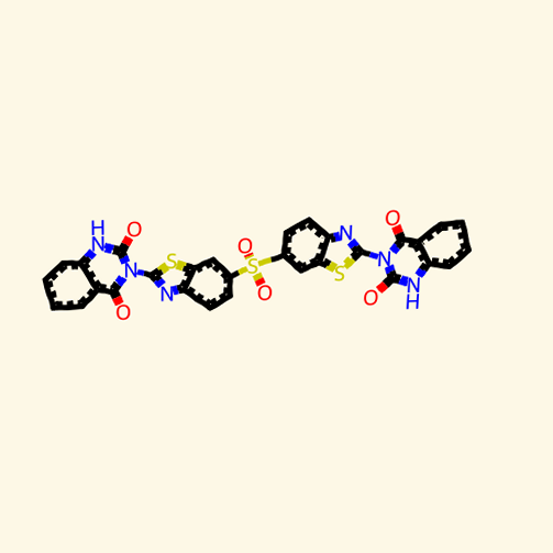 O=c1[nH]c2ccccc2c(=O)n1-c1nc2ccc(S(=O)(=O)c3ccc4nc(-n5c(=O)[nH]c6ccccc6c5=O)sc4c3)cc2s1